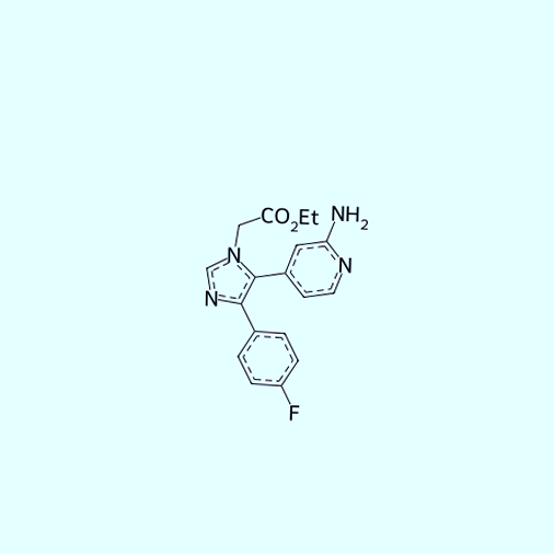 CCOC(=O)Cn1cnc(-c2ccc(F)cc2)c1-c1ccnc(N)c1